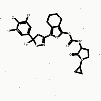 O=C(NC1CCN(C2CC2)C1=O)Oc1sc(C2=NOC(c3cc(Cl)c(Cl)c(Cl)c3)(C(F)(F)F)C2)c2c1CCCC2